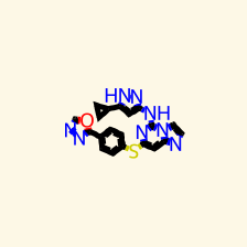 c1cn2c(Nc3cc(C4CC4)[nH]n3)nc(Sc3ccc(-c4nnco4)cc3)cc2n1